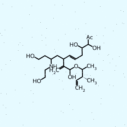 C=C[C@@H](C)C(C)OC(O)C(=C)C(/C=C/CC(O)C(O)C(C)=O)CC(CCO)NCCO